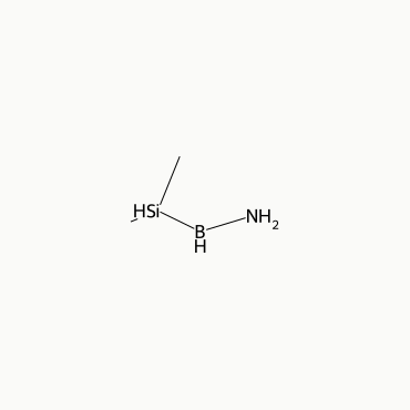 C[SiH](C)BN